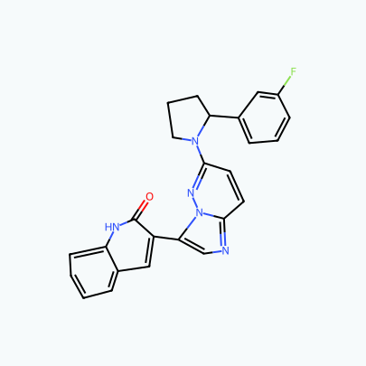 O=c1[nH]c2ccccc2cc1-c1cnc2ccc(N3CCCC3c3cccc(F)c3)nn12